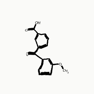 COc1cccc(C(=O)c2cccc(C(=O)O)c2)c1